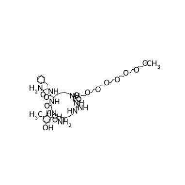 COCCOCCOCCOCCOCCOCCOCCOP1(=O)NCCCCC(C(=O)N[C@@H](Cc2ccccc2)C(N)=O)NC(=O)[C@H](Cc2c(C)cc(O)cc2C)NC(=O)[C@H](N)CCCNC(=N)N1